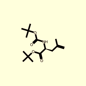 C=C(C)C[C@H](NC(=O)OC(C)(C)C)C(=O)OC(C)(C)C